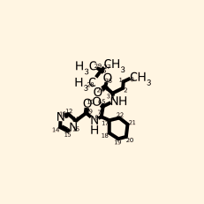 CCCC(NC(=O)C(NC(=O)c1cnccn1)C1CCCCC1)C(=O)OC(C)(C)C